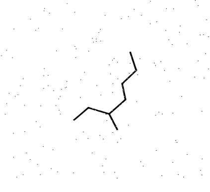 CCCC[C](C)CC